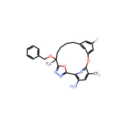 Nc1cc(C(F)(F)F)c2nc1-c1nnc(o1)C(OCc1ccccc1)(C(F)(F)F)CCCCc1cc(F)cc(c1)O2